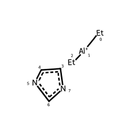 C[CH2][Al+][CH2]C.c1c[n-]cn1